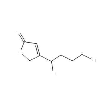 CCCCC(C)C1=CC(=O)OC1